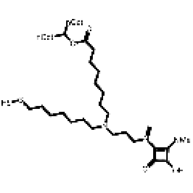 C=[N+](CCCN(CCCCCCCSS)CCCCCCCC(=O)OC(CCCCCCCC)CCCCCCCC)C1=C(NC)C(O)C1=O